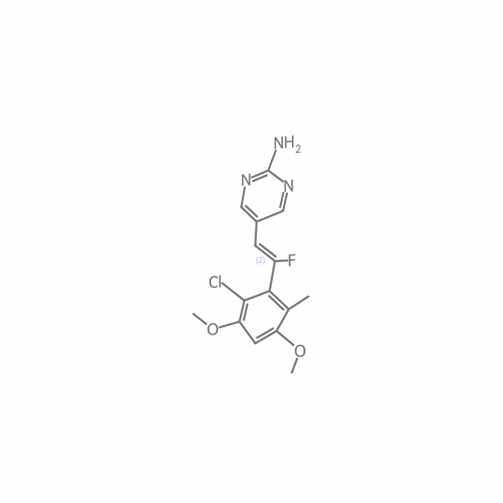 COc1cc(OC)c(Cl)c(/C(F)=C/c2cnc(N)nc2)c1C